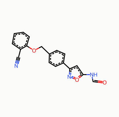 N#Cc1ccccc1OCc1ccc(-c2cc(NC=O)on2)cc1